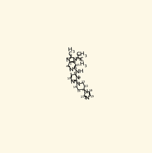 Cc1nc2cnc(Nc3ccnc(N4CCC(n5ccnc5)CC4)n3)cc2n1C(C)C